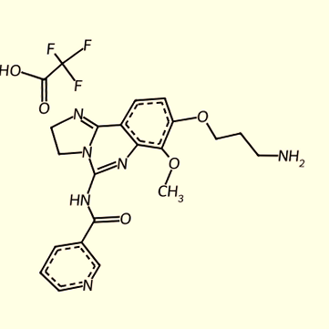 COc1c(OCCCN)ccc2c1N=C(NC(=O)c1cccnc1)N1CCN=C21.O=C(O)C(F)(F)F